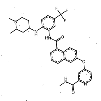 CNC(=O)c1cc(Oc2ccc3c(C(=O)Nc4cc(C(F)(F)F)ccc4NC4CCN(C)C(C)C4)cccc3c2)ccn1